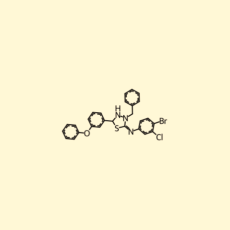 Clc1cc(N=C2SC(c3cccc(Oc4ccccc4)c3)NN2Cc2ccccc2)ccc1Br